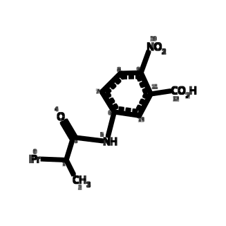 CC(C)C(C)C(=O)Nc1ccc([N+](=O)[O-])c(C(=O)O)c1